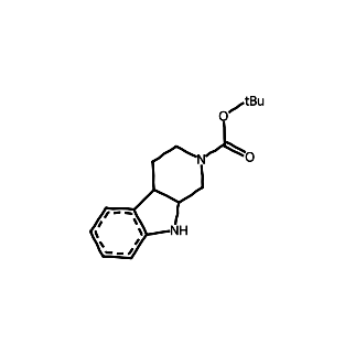 CC(C)(C)OC(=O)N1CCC2c3ccccc3NC2C1